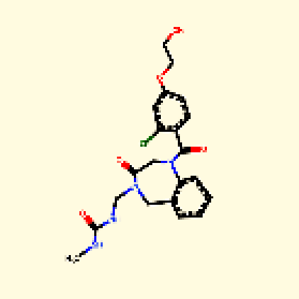 CNC(=O)NCN1Cc2ccccc2N(C(=O)c2ccc(OCCO)cc2Cl)CC1=O